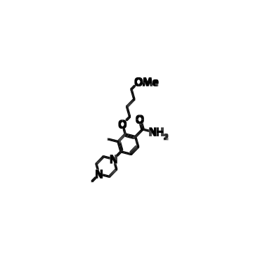 COCCCCOc1c(C(N)=O)ccc(N2CCN(C)CC2)c1C